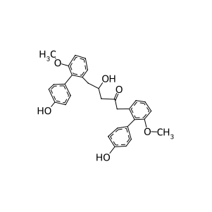 COc1cccc(CC(=O)CC(O)Cc2cccc(OC)c2-c2ccc(O)cc2)c1-c1ccc(O)cc1